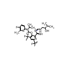 Cc1nc(N(C(=O)Oc2c(C(F)(F)F)cc(C(F)(F)F)nc2C(=N)/N=C\NCC(O)N(C)C)C(C)C)ccc1F